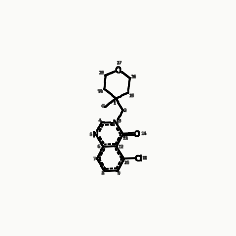 CC1(Cn2cnc3cccc(Cl)c3c2=O)CCOCC1